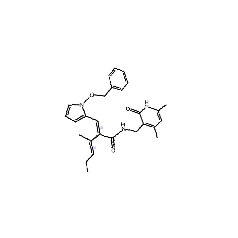 CC/C=C(C)/C(=C\c1cccn1OCc1ccccc1)C(=O)NCc1c(C)cc(C)[nH]c1=O